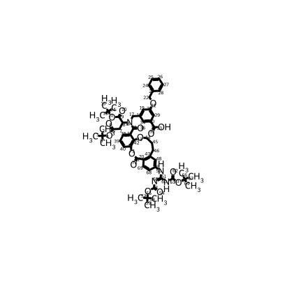 CC(C)(C)OC(=O)CC(C(=O)OC(C)(C)C)N(Cc1cc(OCc2ccccc2)cc(C(=O)O)c1)C(=O)c1cccc2c1OCCCc1cc(NC(=NC(=O)OC(C)(C)C)NC(=O)OC(C)(C)C)ccc1C(=O)O2